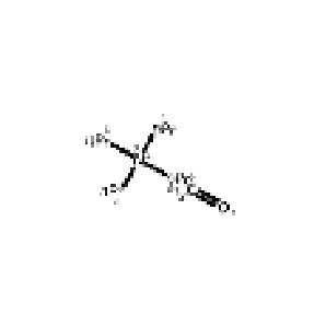 C=O.CCC[N+](CCC)(CCC)CCC